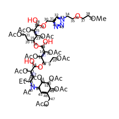 CC[C@@H](/C=C(\OC(C)=O)[C@@H](O)O[C@@H](CCOC(C)=O)/C(OC(C)=O)=C(\OC(C)=O)[C@@H](O)O[C@@H](CCOC(C)=O)/C(OC(C)=O)=C(\OC(C)=O)[C@H](O)OCc1cn(CCOCCOC)nn1)N(C(C)=O)[C@@H]1C=C(COC(C)=O)[C@H](OC(C)=O)[C@@H](OC(C)=O)[C@@H]1OC(C)=O